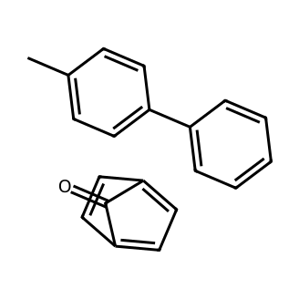 Cc1ccc(-c2ccccc2)cc1.O=C1C2=CC=C1C=C2